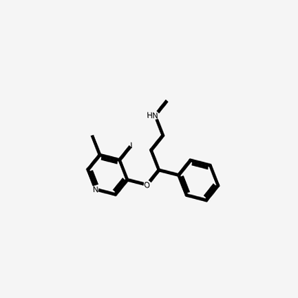 CNCCC(Oc1cncc(C)c1I)c1ccccc1